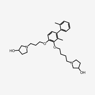 Cc1ccccc1-c1ccc(OCCCN2CCC(O)C2)c(OCCCCN2CCC(O)C2)c1C